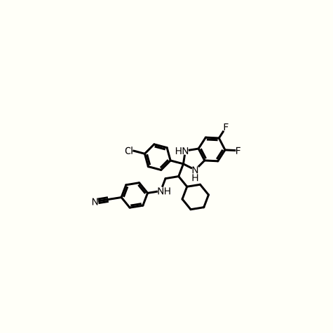 N#Cc1ccc(NCC(C2CCCCC2)C2(c3ccc(Cl)cc3)Nc3cc(F)c(F)cc3N2)cc1